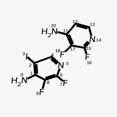 Nc1c(I)cnc(F)c1F.Nc1ccnc(F)c1F